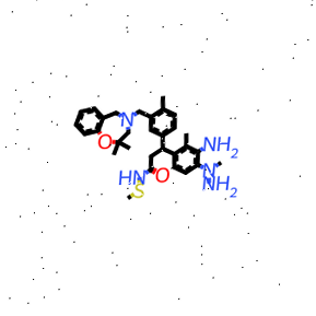 CSNC(=O)CC(c1ccc(C)c(CN2Cc3ccccc3OC(C)(C)C2)c1)c1ccc(N(C)N)c(N)c1C